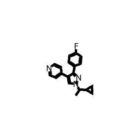 CC(C1CC1)n1cc(-c2ccncc2)c(-c2ccc(F)cc2)n1